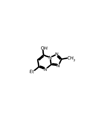 CCc1cc(O)n2nc(C)nc2n1